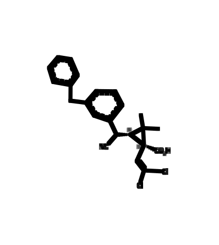 CC1(C)[C@@H](C(C#N)c2cccc(Cc3ccccc3)c2)[C@@]1(C=C(Cl)Cl)C(=O)O